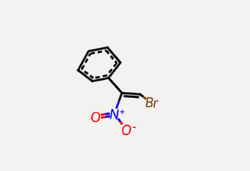 O=[N+]([O-])/C(=C\Br)c1ccccc1